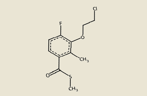 CSC(=O)c1ccc(F)c(OCCCl)c1C